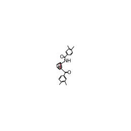 Cc1ccc(C(=O)NC2CN(C(=O)c3ccc(C)c(C)c3)c3ccc2cc3)cc1C